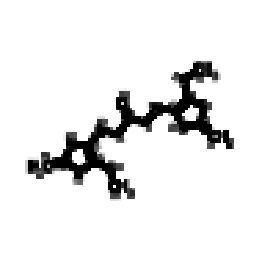 C=C1SC(SC)=C(SCC(=O)CSC2=C(SC)SC(=C)S2)S1